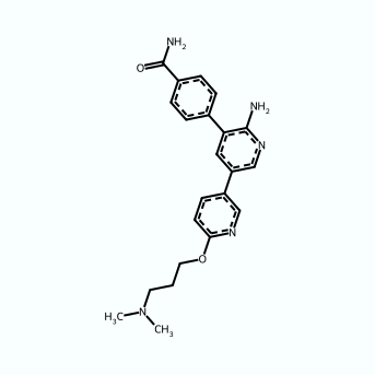 CN(C)CCCOc1ccc(-c2cnc(N)c(-c3ccc(C(N)=O)cc3)c2)cn1